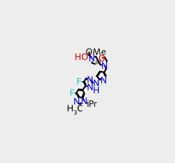 COC(O)N1CC[C@]2(CN(Cc3ccc(Nc4ncc(F)c(-c5cc(F)c6nc(C)n(C(C)C)c6c5)n4)nc3)CCO2)C1